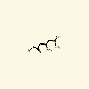 CCOC(=O)/C=C(\N)CN(C)C